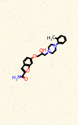 Cc1ccccc1N1CCN(CC(O)COc2ccc3cc(C(N)=O)oc3c2)CC1